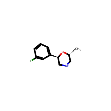 C[C@@H]1CNC[C@@H](c2cccc(F)c2)O1